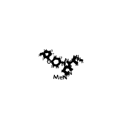 CNc1cc2c(cn1)c(-c1cnn(C)c1)nn2[C@H]1CC[C@@H](Oc2cccc(C)c2)CC1